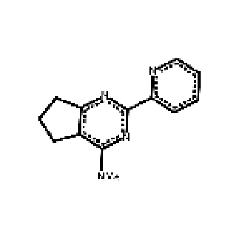 CNc1nc(-c2ccccn2)nc2c1CCC2